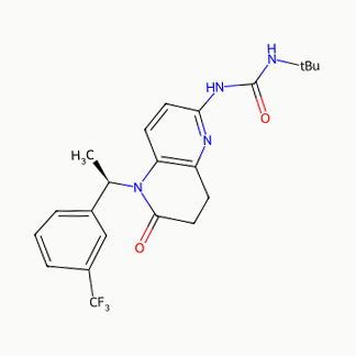 C[C@H](c1cccc(C(F)(F)F)c1)N1C(=O)CCc2nc(NC(=O)NC(C)(C)C)ccc21